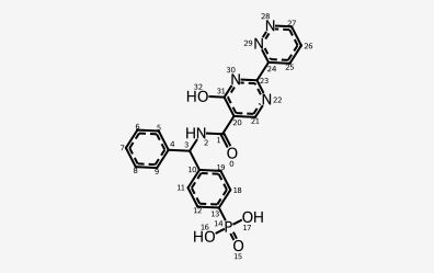 O=C(NC(c1ccccc1)c1ccc(P(=O)(O)O)cc1)c1cnc(-c2cccnn2)nc1O